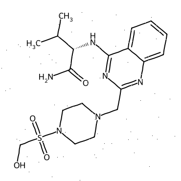 CC(C)[C@H](Nc1nc(CN2CCN(S(=O)(=O)CO)CC2)nc2ccccc12)C(N)=O